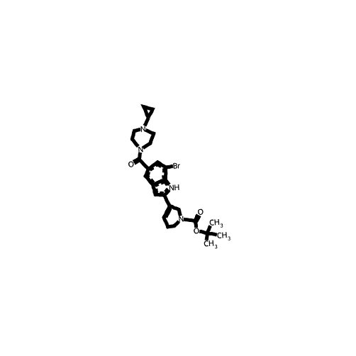 CC(C)(C)OC(=O)N1CCC=C(c2cc3cc(C(=O)N4CCN(C5CC5)CC4)cc(Br)c3[nH]2)C1